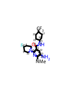 CNc1nc(N2CCC(F)CC2)c(C(=O)NC2CCC(C(F)(F)F)CC2)cc1N